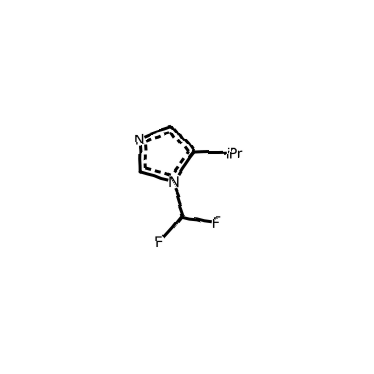 CC(C)c1cncn1C(F)F